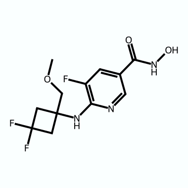 COCC1(Nc2ncc(C(=O)NO)cc2F)CC(F)(F)C1